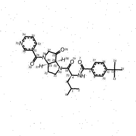 CC(C)C[C@H](NC(=O)c1ccc(C(C)(C)C)cc1)C(=O)N1CC[C@@H]2[C@H]1C(=O)CN2C(=O)c1cccnc1